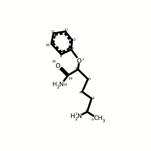 CC(N)CCCC(Oc1ccccc1)C(N)=O